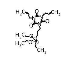 C=CCn1c(=O)n(CC=C)c(=O)n(CCC[Si](OCC)(OCC)OCC)c1=O